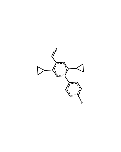 O=Cc1cc(C2CC2)c(-c2ccc(F)cc2)cc1C1CC1